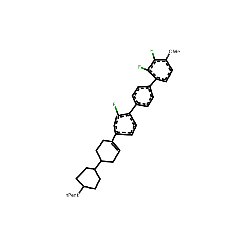 CCCCCC1CCC(C2CC=C(c3ccc(-c4ccc(-c5ccc(OC)c(F)c5F)cc4)c(F)c3)CC2)CC1